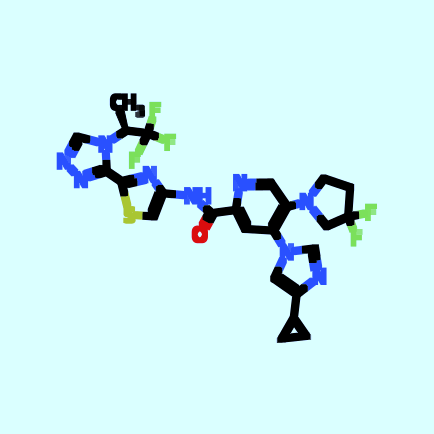 C[C@H](n1cnnc1-c1nc(NC(=O)c2cc(-n3cnc(C4CC4)c3)c(N3CCC(F)(F)C3)cn2)cs1)C(F)(F)F